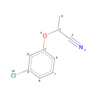 CC(C#N)Oc1cccc(Cl)c1